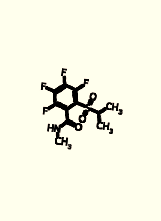 CNC(=O)c1c(F)c(F)c(F)c(F)c1S(=O)(=O)C(C)C